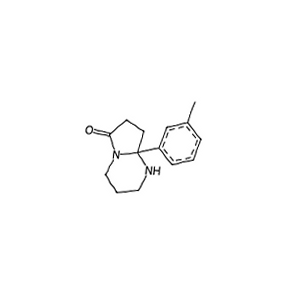 Cc1cccc(C23CCC(=O)N2CCCN3)c1